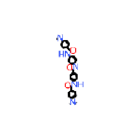 CN(C)c1ccc(C(=O)Nc2ccc(-c3nc4ccc(NC(=O)c5ccc(N(C)C)cc5)cc4o3)cc2)cc1